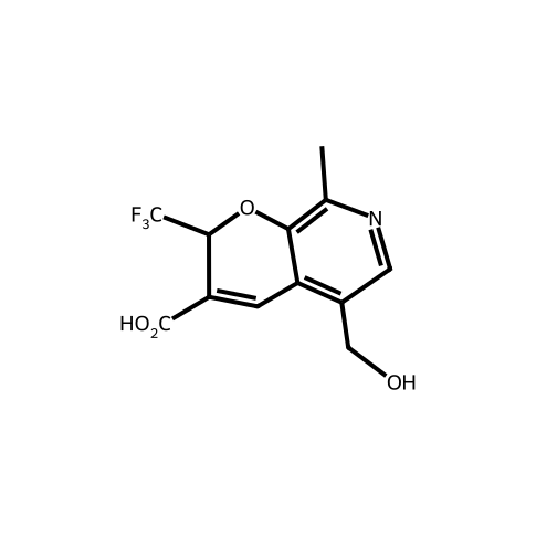 Cc1ncc(CO)c2c1OC(C(F)(F)F)C(C(=O)O)=C2